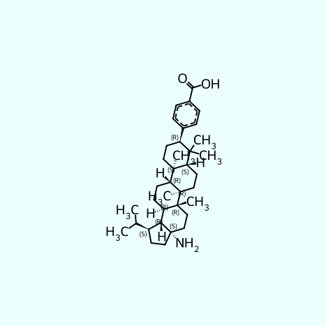 CC(C)[C@@H]1CC[C@]2(N)CC[C@]3(C)[C@H](CC[C@@H]4[C@@]5(C)CC[C@@H](c6ccc(C(=O)O)cc6)C(C)(C)[C@@H]5CC[C@]43C)[C@@H]12